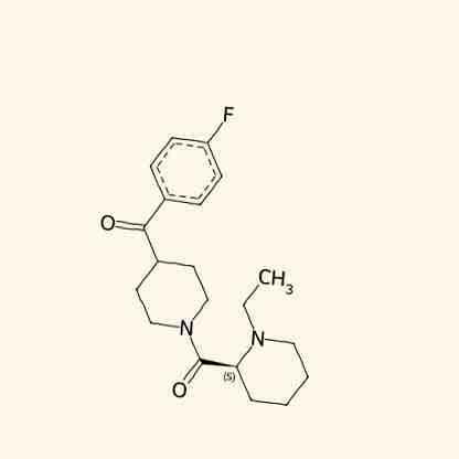 CCN1CCCC[C@H]1C(=O)N1CCC(C(=O)c2ccc(F)cc2)CC1